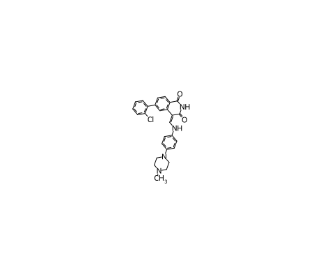 CN1CCN(c2ccc(NC=C3C(=O)NC(=O)c4ccc(-c5ccccc5Cl)cc43)cc2)CC1